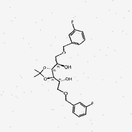 CC1(C)O[C@H]([C@H](O)COCc2cccc(F)c2)[C@@H]([C@H](O)COCc2cccc(F)c2)O1